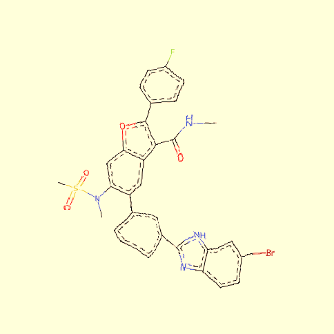 CNC(=O)c1c(-c2ccc(F)cc2)oc2cc(N(C)S(C)(=O)=O)c(-c3cccc(-c4nc5ccc(Br)cc5[nH]4)c3)cc12